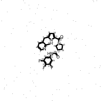 Cc1ncccc1Cc1ccc(C(=O)N2CC[C@H](C(=O)Nc3cc(F)c(F)c(F)c3)C2)[nH]1